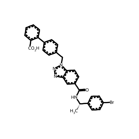 C[C@H](NC(=O)c1ccc2c(c1)nnn2Cc1ccc(-c2ccccc2C(=O)O)cc1)c1ccc(Br)cc1